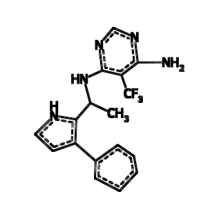 CC(Nc1ncnc(N)c1C(F)(F)F)c1[nH]ccc1-c1ccccc1